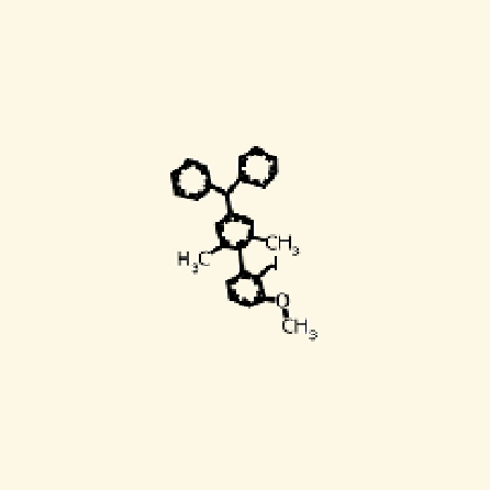 COc1cccc(-c2c(C)cc(C(c3ccccc3)c3ccccc3)cc2C)c1I